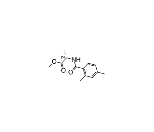 COC(=O)[C@H](C)NC(=O)c1ccc(C)cc1C